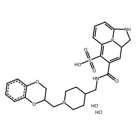 Cl.Cl.O=C(NCC1CCN(CC2COc3ccccc3O2)CC1)C1=CC2CNC3=CC=CC(=C1S(=O)(=O)O)N32